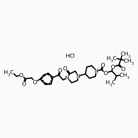 CCOC(=O)COc1ccc(C(=O)CN2CCN(C3CCN(C(=O)OC(OC(=O)C(C)(C)C)C(C)C)CC3)CC2=O)cc1.Cl